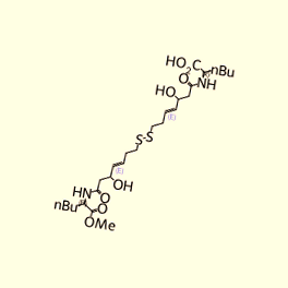 CCCC[C@@H](NC(=O)CC(O)/C=C/CCSSCC/C=C/C(O)CC(=O)N[C@H](CCCC)C(=O)OC)C(=O)O